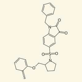 O=C1C(=O)N(Cc2ccccc2)c2ccc(S(=O)(=O)N3CCCC3COC3=CC=CCC3=S)cc21